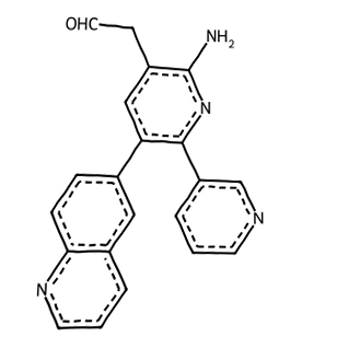 Nc1nc(-c2cccnc2)c(-c2ccc3ncccc3c2)cc1CC=O